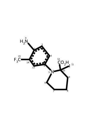 Nc1ccc(N2CCCCC2(I)C(=O)O)cc1C(F)(F)F